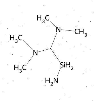 CN(C)C([SiH2]N)N(C)C